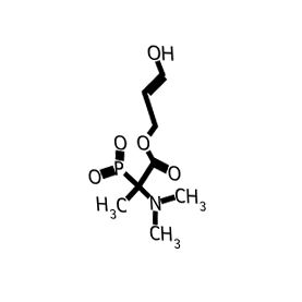 CN(C)C(C)(C(=O)OCC=CO)P(=O)=O